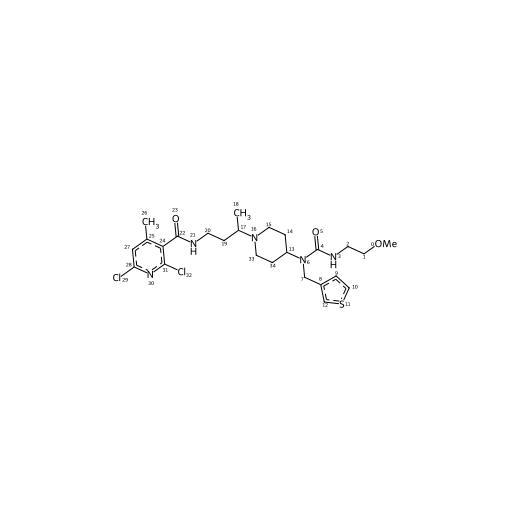 COCCNC(=O)N(Cc1ccsc1)C1CCN(C(C)CCNC(=O)c2c(C)cc(Cl)nc2Cl)CC1